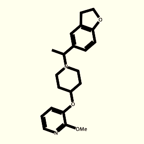 COc1ncccc1OC1CCN(C(C)c2ccc3c(c2)CCO3)CC1